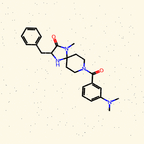 CN(C)c1cccc(C(=O)N2CCC3(CC2)NC(Cc2ccccc2)C(=O)N3C)c1